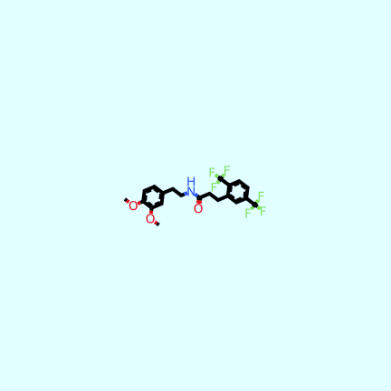 COc1ccc(CCNC(=O)CCc2cc(C(F)(F)F)ccc2C(F)(F)F)cc1OC